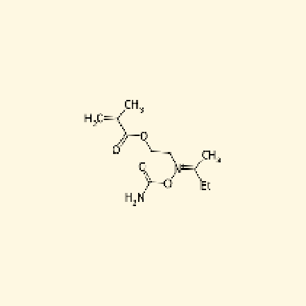 C=C(C)C(=O)OCC[N+](OC(N)=O)=C(C)CC